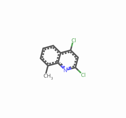 Cc1cccc2c(Cl)cc(Cl)nc12